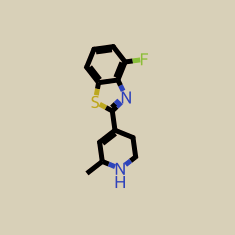 CC1C=C(c2nc3c(F)cccc3s2)CCN1